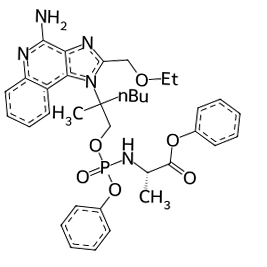 CCCCC(C)(COP(=O)(N[C@@H](C)C(=O)Oc1ccccc1)Oc1ccccc1)n1c(COCC)nc2c(N)nc3ccccc3c21